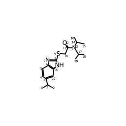 CC(C)c1ccc2nc(SCC(=O)N(C(C)C)C(C)C)[nH]c2c1